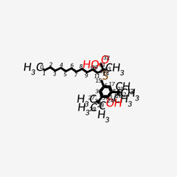 CCCCCCCCCCCCC(C)(SCc1cc(C(C)(C)C)c(O)c(C(C)(C)C)c1)C(=O)O